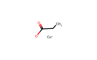 CCC(=O)[O-].[Cu+]